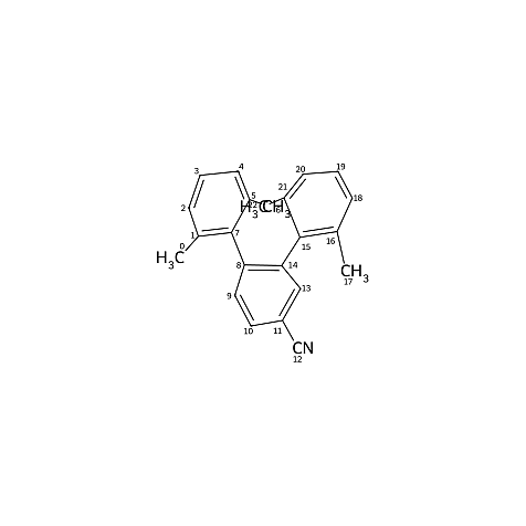 Cc1cccc(C)c1-c1ccc(C#N)cc1-c1c(C)cccc1C